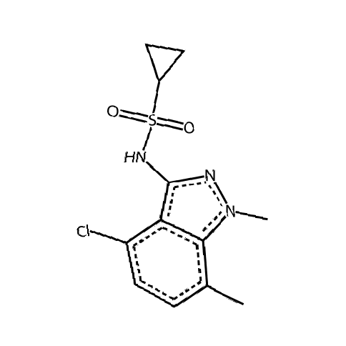 Cc1ccc(Cl)c2c(NS(=O)(=O)C3CC3)nn(C)c12